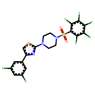 O=S(=O)(c1c(F)c(F)c(F)c(F)c1F)N1CCN(c2nc(-c3cc(F)cc(F)c3)cs2)CC1